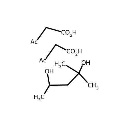 CC(=O)CC(=O)O.CC(=O)CC(=O)O.CC(O)CC(C)(C)O